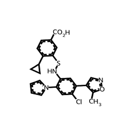 Cc1oncc1-c1cc(NSc2cc(C(=O)O)ccc2C2CC2)c(-n2cccc2)cc1Cl